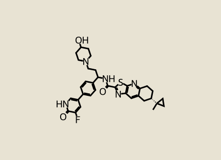 CC1([C@H]2CCc3nc4sc(C(=O)NC(CCN5CCC(O)CC5)c5ccc(-c6c[nH]c(=O)c(F)c6)cc5)nc4cc3C2)CC1